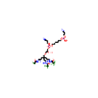 N#CCCOP(O)OCCCCCCOP(=O)(OCCC#N)OCC(O)COCC(CCCNC(=O)C(F)(F)F)(CCCNC(=O)C(F)(F)F)CCNC(=O)C(F)(F)F